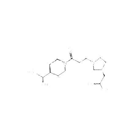 CC(C)C[C@@H]1CCN(CCC(=O)N2CCC(C(C)C)CC2)C1